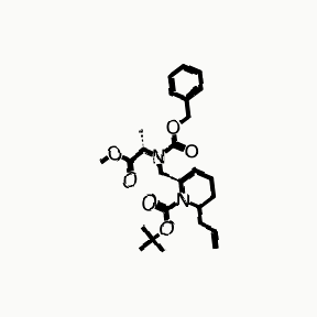 C=CCC1CCC[C@H](CN(C(=O)OCc2ccccc2)[C@@H](C)C(=O)OC)N1C(=O)OC(C)(C)C